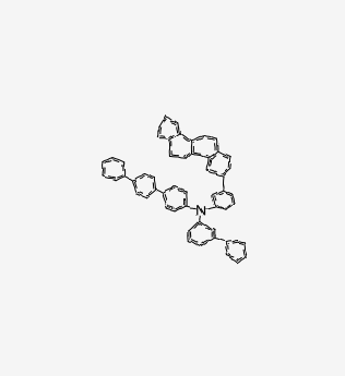 c1ccc(-c2ccc(-c3ccc(N(c4cccc(-c5ccccc5)c4)c4cccc(-c5ccc6ccc7c8ccccc8ccc7c6c5)c4)cc3)cc2)cc1